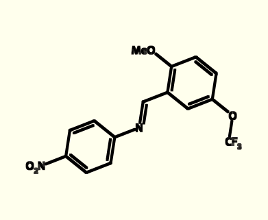 COc1ccc(OC(F)(F)F)cc1/C=N/c1ccc([N+](=O)[O-])cc1